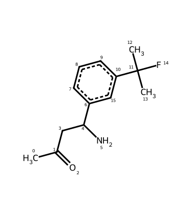 CC(=O)CC(N)c1cccc(C(C)(C)F)c1